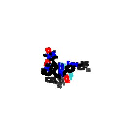 CC[C@@H](Nc1cc(F)c(C(=O)N[C@@H](Cc2ccc(-c3c(C)n(C)c(=O)n(C)c3=O)c3ncccc23)C(=O)O)c(F)c1)C(F)(F)F